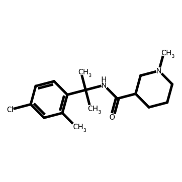 Cc1cc(Cl)ccc1C(C)(C)NC(=O)C1CCCN(C)C1